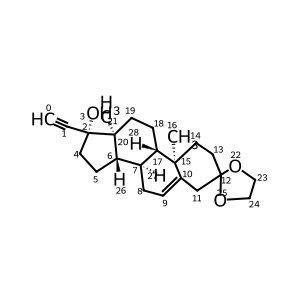 C#C[C@]1(O)CC[C@H]2[C@@H]3CC=C4CC5(CC[C@]4(C)[C@H]3CC[C@@]21C)OCCO5